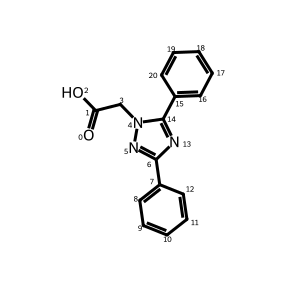 O=C(O)Cn1nc(-c2ccccc2)nc1-c1ccccc1